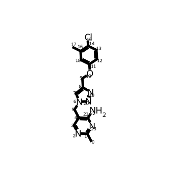 Cc1ncc(Cn2cc(COc3ccc(Cl)c(C)c3)nn2)c(N)n1